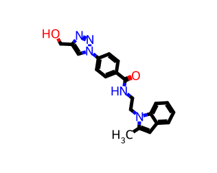 Cc1cc2ccccc2n1CCNC(=O)c1ccc(-n2cc(CO)nn2)cc1